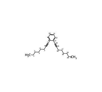 CCCCCCC#Cc1ccccc1C#CCCCCCC